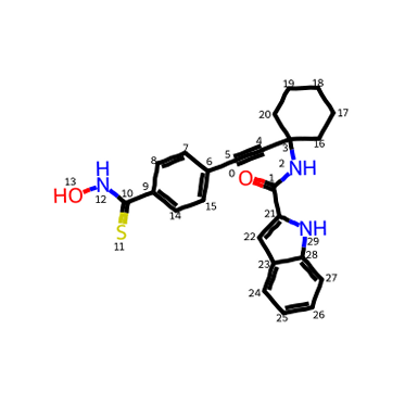 O=C(NC1(C#Cc2ccc(C(=S)NO)cc2)CCCCC1)c1cc2ccccc2[nH]1